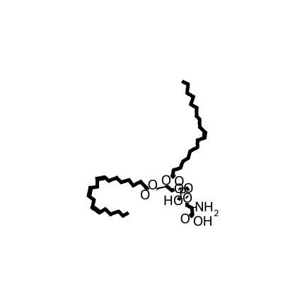 CCCCC/C=C\C/C=C\C/C=C\CCCCCCC(=O)OC[C@H](COP(=O)(O)OC[C@H](N)C(=O)O)OC(=O)CCCCCCC/C=C\CCCCCCCCC